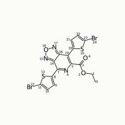 CCOC(=O)c1nc(-c2ccc(Br)s2)c2nonc2c1-c1ccc(Br)s1